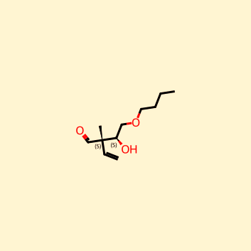 C=C[C@](C)(C=O)[C@H](O)COCCCC